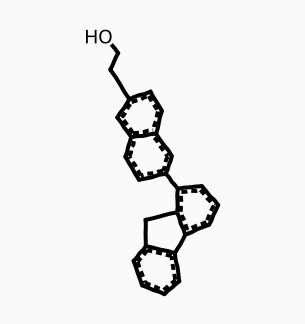 OCCc1ccc2cc(-c3cccc4c3Cc3ccccc3-4)ccc2c1